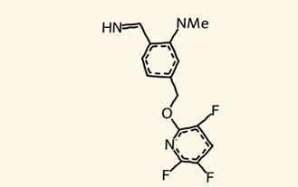 CNc1cc(COc2nc(F)c(F)cc2F)ccc1C=N